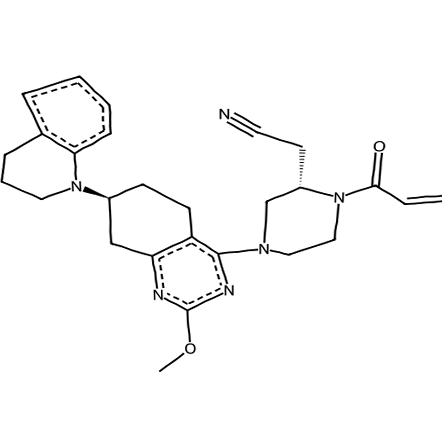 C=CC(=O)N1CCN(c2nc(OC)nc3c2CC[C@H](N2CCCc4ccccc42)C3)C[C@@H]1CC#N